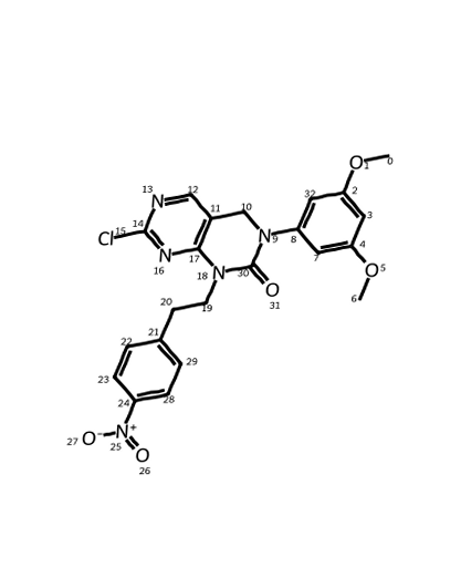 COc1cc(OC)cc(N2Cc3cnc(Cl)nc3N(CCc3ccc([N+](=O)[O-])cc3)C2=O)c1